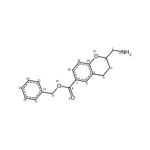 NCC1CCc2cc(C(=O)OCc3ccccc3)ccc2O1